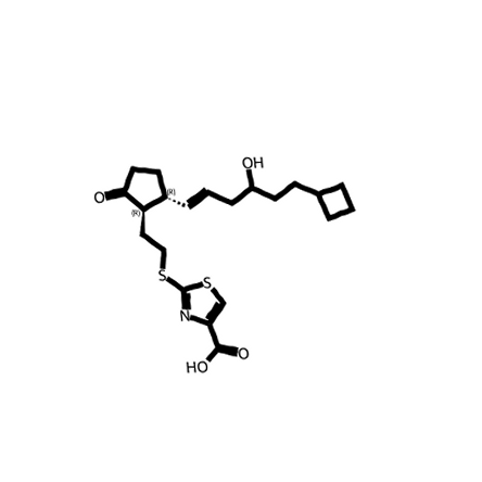 O=C(O)c1csc(SCC[C@H]2C(=O)CC[C@@H]2C=CCC(O)CCC2CCC2)n1